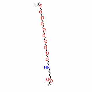 COCCOCCOCCOCCOCCOCCOCCOCCOCCOCCCNCCCCCC(=O)OC